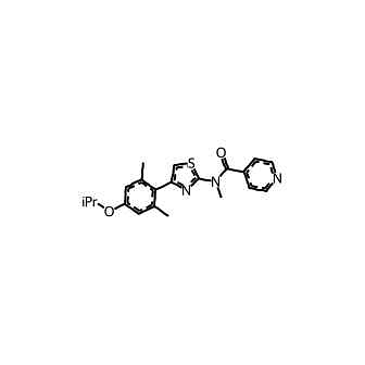 Cc1cc(OC(C)C)cc(C)c1-c1csc(N(C)C(=O)c2ccncc2)n1